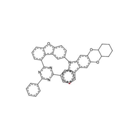 c1ccc(-c2nc(-c3ccccc3)nc(-c3cccc4oc5ccc(-n6c7ccccc7c7cc8c(cc76)OC6CCCCC6O8)cc5c34)n2)cc1